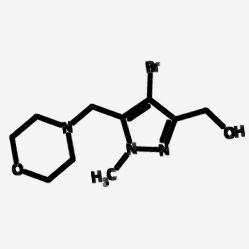 Cn1nc(CO)c(Br)c1CN1CCOCC1